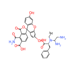 NC(=O)c1c(C(=O)O)ccc2c1C(=O)OC21c2ccc(O)cc2Oc2cc(O)ccc21.[2H]CN(C(N)CN)[C@@H](Cc1ccccc1)C(=O)O